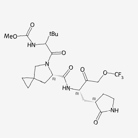 COC(=O)NC(C(=O)N1CC2(CC2)C[C@H]1C(=O)N[C@@H](C[C@@H]1CCNC1=O)C(=O)COC(F)(F)F)C(C)(C)C